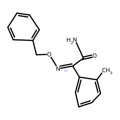 Cc1ccccc1/C(=N/OCc1ccccc1)C(N)=O